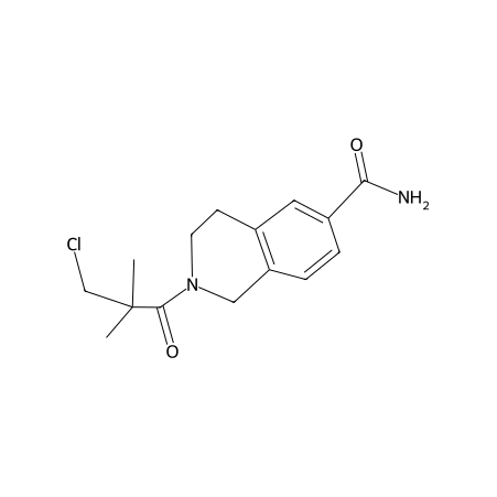 CC(C)(CCl)C(=O)N1CCc2cc(C(N)=O)ccc2C1